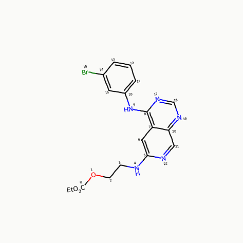 CCOC(=O)OCCNc1cc2c(Nc3cccc(Br)c3)ncnc2cn1